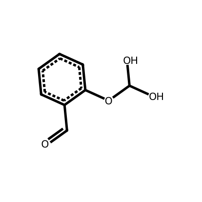 O=Cc1ccccc1OC(O)O